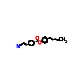 CCCCCc1ccc(OC(=O)[C@H]2CC[C@H](C=CC#N)CC2)cc1